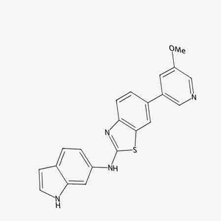 COc1cncc(-c2ccc3nc(Nc4ccc5cc[nH]c5c4)sc3c2)c1